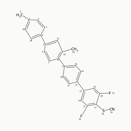 Cc1ccc(-c2ccc(-c3ccc(-c4cc(F)c(SC#N)c(F)c4)cc3)c(C)c2)cc1